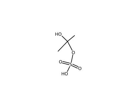 CC(C)(O)OS(=O)(=O)O